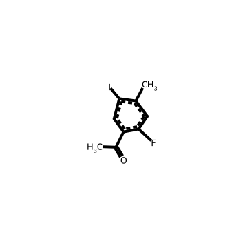 CC(=O)c1cc(I)c(C)cc1F